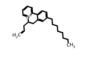 C=CCC1Cc2cc(CCCCCCCC)ccc2-c2cccc[n+]21